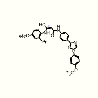 COc1ccc(N/C(O)=C\C(=O)Nc2ccc(-c3ncn(-c4ccc(OC(F)(F)F)cc4)n3)cc2)c(C(C)C)c1